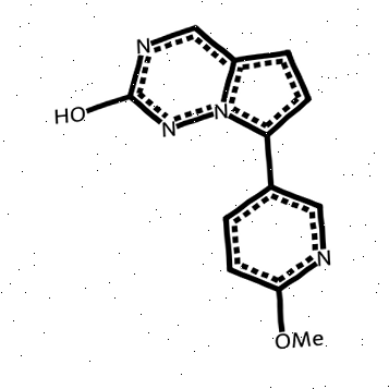 COc1ccc(-c2ccc3cnc(O)nn23)cn1